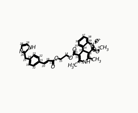 COC(=O)C1=C(C)NC(C)=C(C(=O)OCCOC(=O)C=Cc2ccc(Cc3ncc[nH]3)cc2)C1c1ccccc1[N+](=O)[O-]